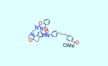 COC(=O)c1ccc(CCCc2ccc(NC(=O)c3cc4c(cc3N(C(=O)c3ccccc3)C(=O)N(C)CCN3CCOCC3)CCCC4)cc2)cc1